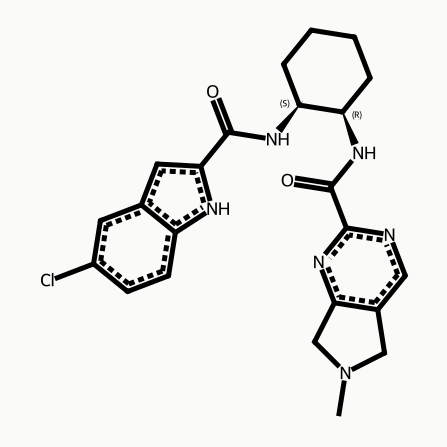 CN1Cc2cnc(C(=O)N[C@@H]3CCCC[C@@H]3NC(=O)c3cc4cc(Cl)ccc4[nH]3)nc2C1